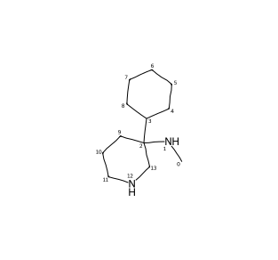 CNC1(C2CCCCC2)CCCNC1